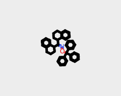 c1ccc(C(ON=C(C2CCCc3ccccc32)C2CCCc3ccccc32)(c2ccccc2)c2ccccc2)cc1